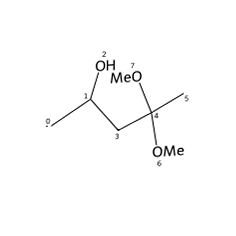 [CH2]C(O)CC(C)(OC)OC